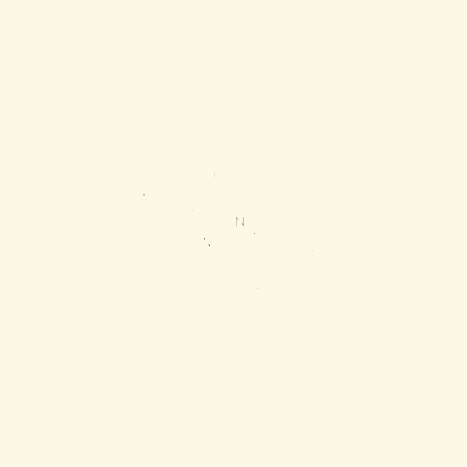 CC(=O)C(=O)NC1CC2CCC1C2N(C)C